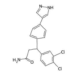 NC(=O)CC(c1ccc(-c2cn[nH]c2)cc1)c1ccc(Cl)c(Cl)c1